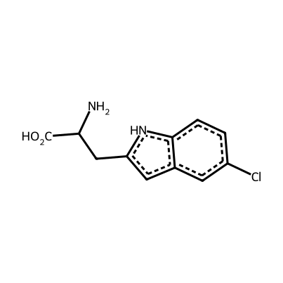 NC(Cc1cc2cc(Cl)ccc2[nH]1)C(=O)O